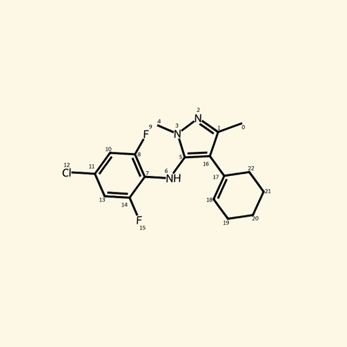 Cc1nn(C)c(Nc2c(F)cc(Cl)cc2F)c1C1=CCCCC1